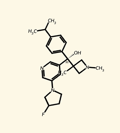 CC(C)c1ccc([C@](O)(c2cncc(N3CCC(F)C3)c2)C2(C)CN(C)C2)cc1